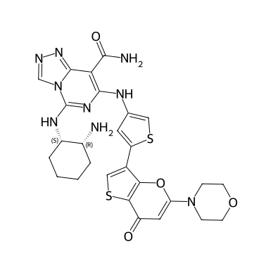 NC(=O)c1c(Nc2csc(-c3csc4c(=O)cc(N5CCOCC5)oc34)c2)nc(N[C@H]2CCCC[C@H]2N)n2cnnc12